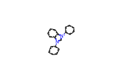 c1ccc(-n2c[n+](-c3ccccc3)c3ccccc32)cc1